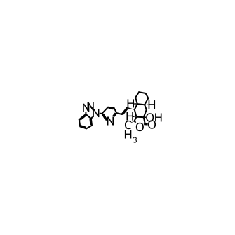 C[C@H]1OC(=O)[C@]2(O)C[C@@H]3CCCC[C@H]3[C@H](/C=C/c3ccc(-n4nnc5ccccc54)cn3)[C@H]12